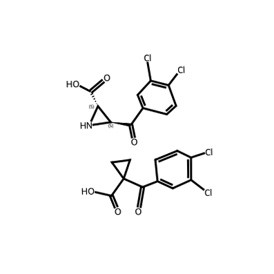 O=C(O)C1(C(=O)c2ccc(Cl)c(Cl)c2)CC1.O=C(O)[C@H]1N[C@@H]1C(=O)c1ccc(Cl)c(Cl)c1